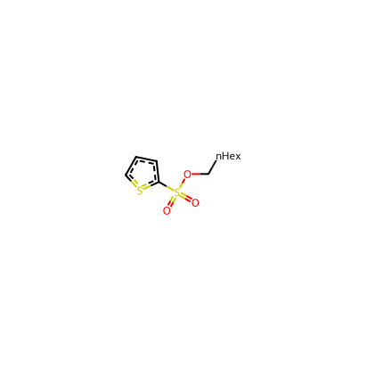 CCCCCCCOS(=O)(=O)c1cccs1